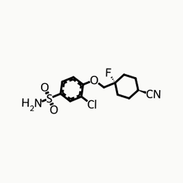 N#C[C@H]1CC[C@@](F)(COc2ccc(S(N)(=O)=O)cc2Cl)CC1